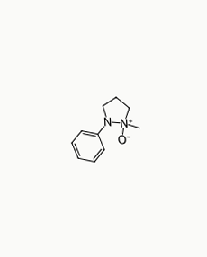 C[N+]1([O-])CCCN1c1ccccc1